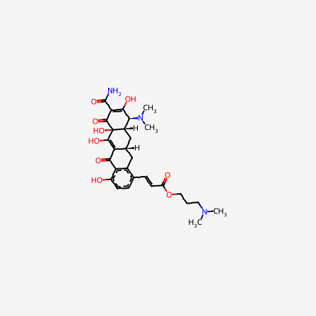 CN(C)CCCOC(=O)/C=C/c1ccc(O)c2c1C[C@H]1C[C@H]3[C@H](N(C)C)C(O)=C(C(N)=O)C(=O)[C@@]3(O)C(O)=C1C2=O